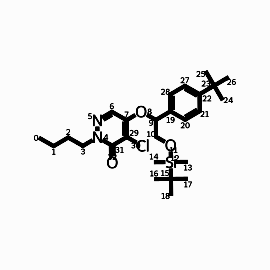 CCCCn1ncc(OC(CO[Si](C)(C)C(C)(C)C)c2ccc(C(C)(C)C)cc2)c(Cl)c1=O